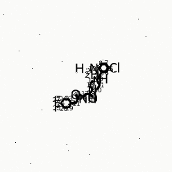 [2H]C([2H])(c1cc(Cl)ccc1N)N1CCN(C(=O)CNC(=O)CC2CCC(F)(F)CC2)CC1